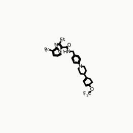 CCc1nc2c(Br)cccn2c1C(=O)NCc1ccc(N2CCC(C3=CC=C(OC(F)(F)F)CC3)CC2)cc1